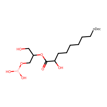 CCCCCCCCCCCCCCCCC(O)C(=O)OC(CO)COB(O)O